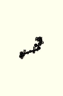 O=C(CCOCCOCCNc1ccc([N+](=O)[O-])c2nonc12)NCCOc1cccc([C@@H](c2ccccc2)C2CCN(C(=O)N3CC[C@@H]4OCC(=O)N[C@@H]4C3)CC2)c1